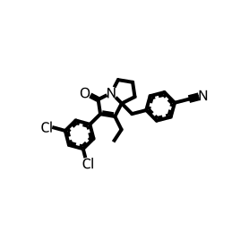 CCC1=C(c2cc(Cl)cc(Cl)c2)C(=O)N2CCCC12Cc1ccc(C#N)cc1